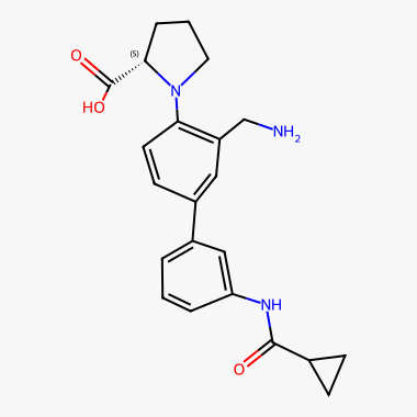 NCc1cc(-c2cccc(NC(=O)C3CC3)c2)ccc1N1CCC[C@H]1C(=O)O